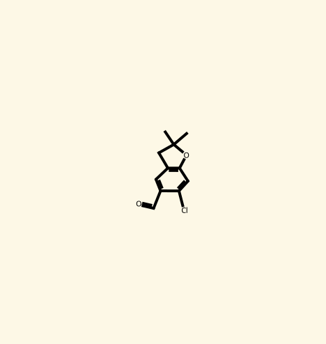 CC1(C)Cc2cc(C=O)c(Cl)cc2O1